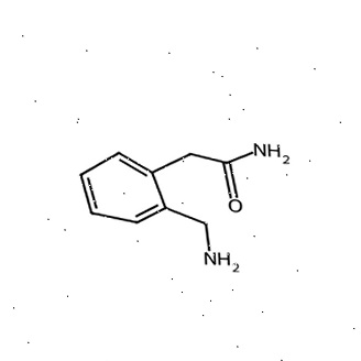 NCc1ccccc1CC(N)=O